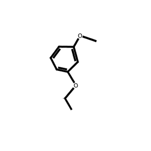 C[CH]Oc1cccc(OC)c1